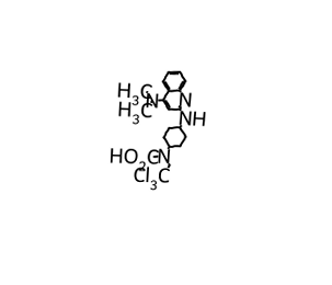 CN(C)c1cc(NC2CCC(N(CC(Cl)(Cl)Cl)C(=O)O)CC2)nc2ccccc12